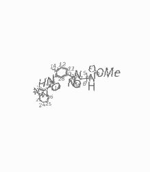 COC(=O)NC(C)(C)c1nc(-c2ccc(C)c(NC(=O)c3cnc4ccccn34)c2)no1